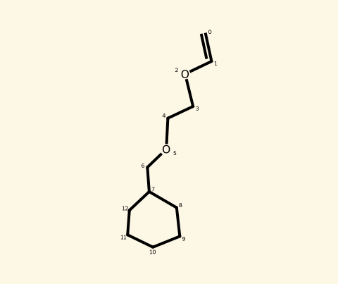 C=COCCOCC1CCCCC1